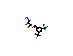 C[C@@H](OC(Cl)(Cl)C(=O)NCl)c1cc(C(F)(F)F)cc(C(F)(F)F)c1